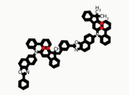 CC1(C)c2ccccc2-c2cc(N(c3ccc4c(ccc5nc(-c6cccc(CC7(C)c8ccccc8-c8cc(N(c9ccc%10c(ccc%11oc(-c%12ccccc%12)nc%11%10)c9)c9ccccc9-c9ccccc9)ccc87)c6)oc54)c3)c3ccccc3-c3ccccc3)ccc21